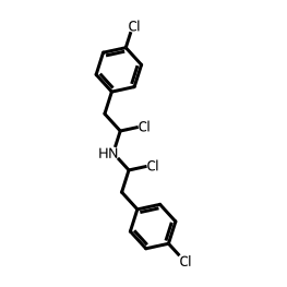 Clc1ccc(CC(Cl)NC(Cl)Cc2ccc(Cl)cc2)cc1